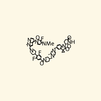 CNc1ccn(-c2ccnc3c2cc(CN2CCC(c4c(F)cc(C(=O)N5CCC(CN6CCN(Cc7ccc8c(c7)C7(CC7)C(=O)N8C7CCC(=O)NC7=O)C[C@@H]6C)CC5)cc4F)CC2)n3C)c(=O)c1F